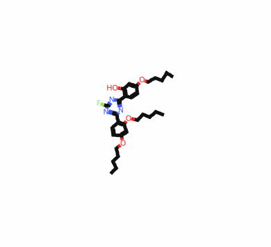 CCCCCOc1ccc(-c2nc(F)nc(-c3ccc(OCCCCC)cc3OCCCCC)n2)c(O)c1